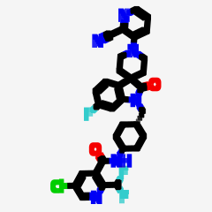 N#Cc1ncccc1N1CCC2(CC1)C(=O)N(C[C@H]1CC[C@H](NC(=O)c3cc(Cl)cnc3C(F)F)CC1)c1cc(F)ccc12